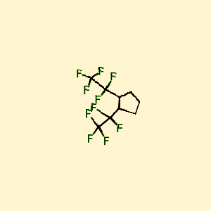 FC(F)(F)C(F)(F)C1CCCC1C(F)(F)C(F)(F)F